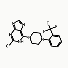 FC(F)(F)c1ccccc1N1CCN(c2[nH]c(Cl)nc3ncnc2-3)CC1